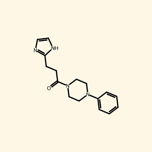 O=C(CCc1ncc[nH]1)N1CCN(c2ccccc2)CC1